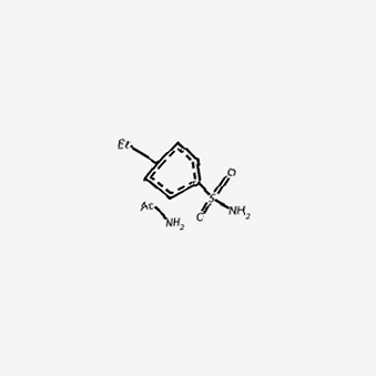 CC(N)=O.CCc1ccc(S(N)(=O)=O)cc1